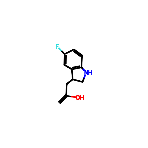 C=C(O)CC1CNc2ccc(F)cc21